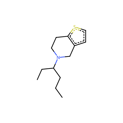 CCCC(CC)N1CCc2sccc2C1